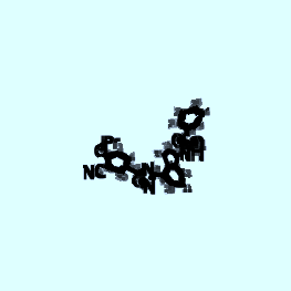 CC(C)Oc1ccc(-c2nc(-c3cccc4c3CC[C@H]4NS(=O)(=O)c3ccccc3)no2)cc1C#N